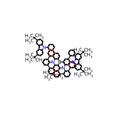 CC(C)(C)c1cc2c3c(c1)N(c1c(-c4ccccc4)cccc1-c1ccccc1)c1cc(-n4c5ccc(C(C)(C)C)cc5c5cc(C(C)(C)C)ccc54)c(-c4ccccc4)cc1B3c1ccc(-c3cccc(-n4c5ccc(C(C)(C)C)cc5c5cc(C(C)(C)C)ccc54)c3)cc1N2c1c(-c2ccccc2)cccc1-c1ccccc1